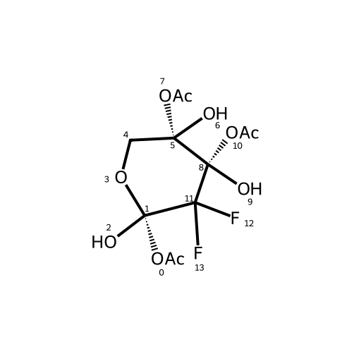 CC(=O)O[C@]1(O)OC[C@](O)(OC(C)=O)[C@](O)(OC(C)=O)C1(F)F